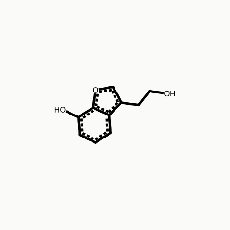 OCCc1coc2c(O)cccc12